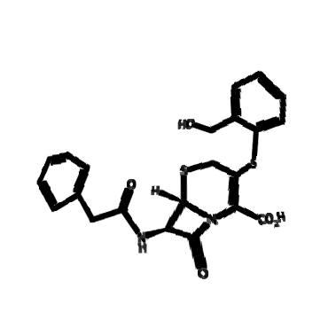 O=C(Cc1ccccc1)N[C@@H]1C(=O)N2C(C(=O)O)=C(Sc3ccccc3CO)CS[C@@H]12